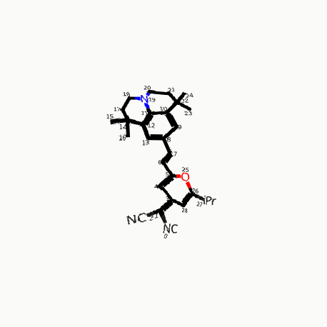 [C-]#[N+]/C(C#N)=C1C=C(/C=C/c2cc3c4c(c2)C(C)(C)CCN4CCC3(C)C)OC(C(C)C)=C/1